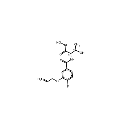 C=CCOc1cc(C(=O)N[C@H](C(=O)NO)[C@@H](C)O)ccc1F